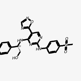 CS(=O)(=O)c1ccc(Nc2ncc(-c3ncno3)c(N[C@H](CO)c3ccccc3)n2)cc1